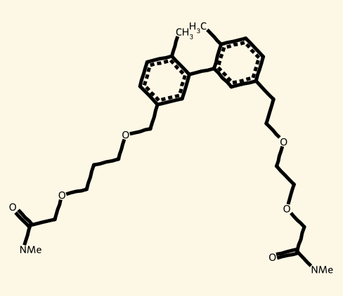 CNC(=O)COCCCOCc1ccc(C)c(-c2cc(CCOCCOCC(=O)NC)ccc2C)c1